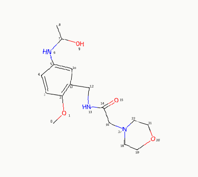 COc1ccc(NC(C)O)cc1CNC(=O)CN1CCOCC1